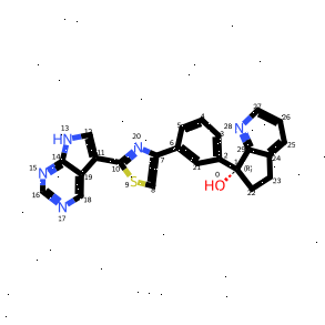 O[C@@]1(c2cccc(-c3csc(-c4c[nH]c5ncncc45)n3)c2)CCc2cccnc21